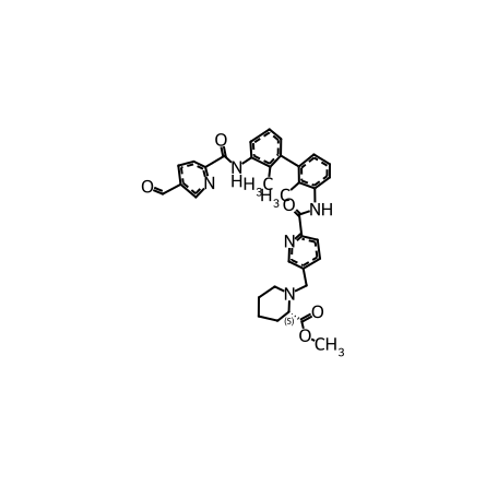 COC(=O)[C@@H]1CCCCN1Cc1ccc(C(=O)Nc2cccc(-c3cccc(NC(=O)c4ccc(C=O)cn4)c3C)c2C)nc1